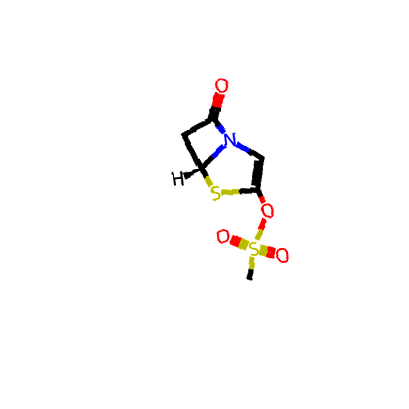 CS(=O)(=O)OC1=CN2C(=O)C[C@H]2S1